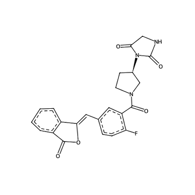 O=C1O/C(=C\c2ccc(F)c(C(=O)N3CC[C@@H](N4C(=O)CNC4=O)C3)c2)c2ccccc21